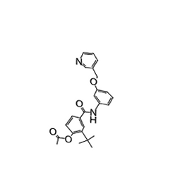 CC(=O)Oc1ccc(C(=O)Nc2cccc(OCc3cccnc3)c2)cc1C(C)(C)C